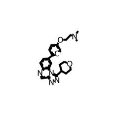 CN(C)CCOc1ccc(-c2ccc3ncc4nnc(C5CCOCC5)n4c3c2)cc1